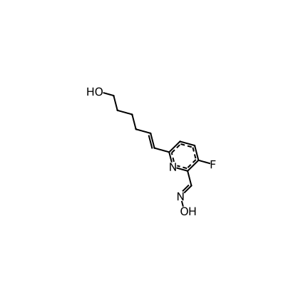 OCCCC/C=C/c1ccc(F)c(C=NO)n1